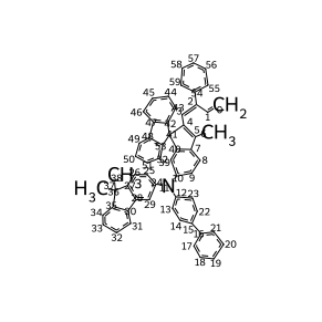 C=C/C(=C\C1=C(C)c2ccc(N(c3ccc(-c4ccccc4)cc3)c3ccc4c(c3)-c3ccccc3C4(C)C)cc2C12c1ccccc1-c1ccccc12)c1ccccc1